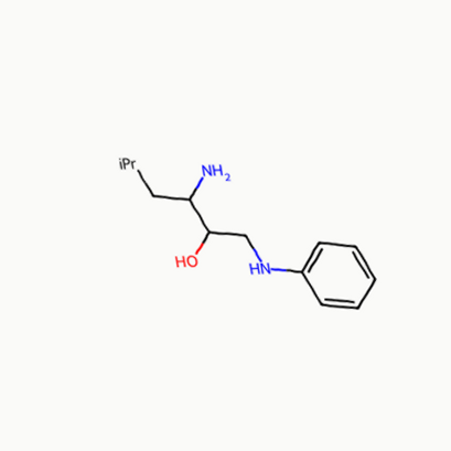 CC(C)CC(N)C(O)CNc1ccccc1